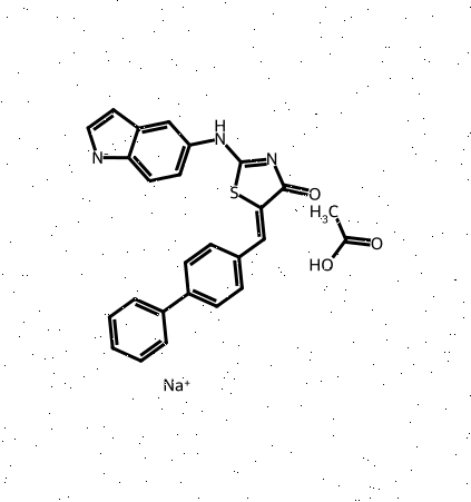 CC(=O)O.O=C1N=C(Nc2ccc3[n-]ccc3c2)SC1=Cc1ccc(-c2ccccc2)cc1.[Na+]